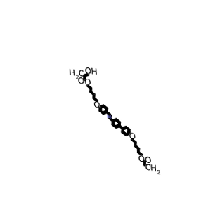 C=CC(=O)OCCCCCCOc1ccc(-c2ccc(/C=C/c3ccc(OCCCCCCOC(=O)C(=C)CO)cc3)cc2)cc1